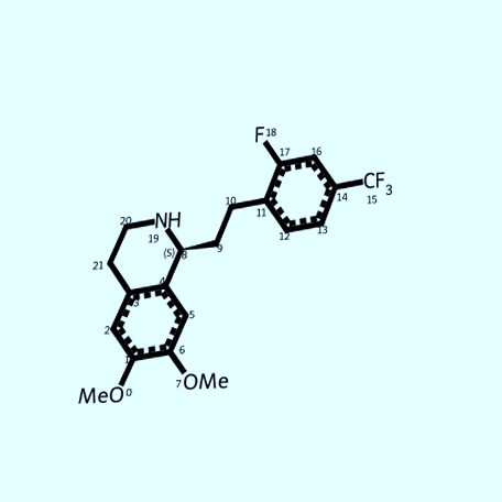 COc1cc2c(cc1OC)[C@H](CCc1ccc(C(F)(F)F)cc1F)NCC2